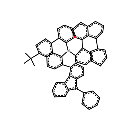 CC(C)(C)c1ccc(-c2ccccc2N(c2ccccc2-c2cccc3cccc(-c4ccccc4)c23)c2ccccc2-c2cccc3c2c2ccccc2n3-c2ccccc2)cc1